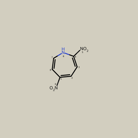 O=[N+]([O-])C1=CC=C([N+](=O)[O-])NC=C1